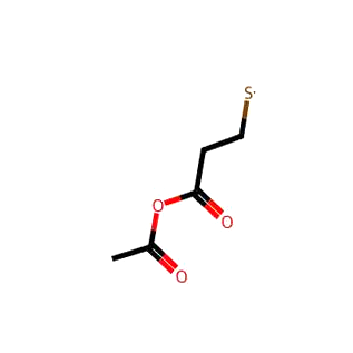 CC(=O)OC(=O)CC[S]